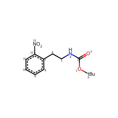 CC(C)(C)OC(=O)NCCc1ccccc1[N+](=O)[O-]